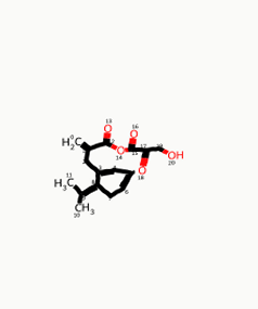 C=C(CC1=CC=CCC1=C(C)C)C(=O)OC(=O)C(=O)CO